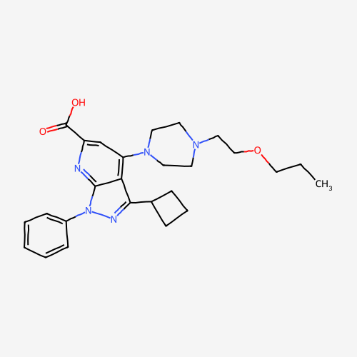 CCCOCCN1CCN(c2cc(C(=O)O)nc3c2c(C2CCC2)nn3-c2ccccc2)CC1